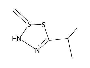 C=S1NN=C(C(C)C)S1